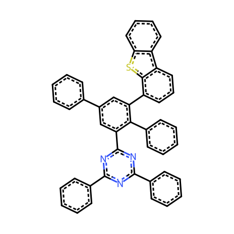 c1ccc(-c2cc(-c3nc(-c4ccccc4)nc(-c4ccccc4)n3)c(-c3ccccc3)c(-c3cccc4c3sc3ccccc34)c2)cc1